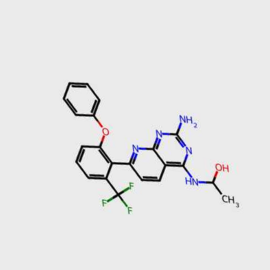 CC(O)Nc1nc(N)nc2nc(-c3c(Oc4ccccc4)cccc3C(F)(F)F)ccc12